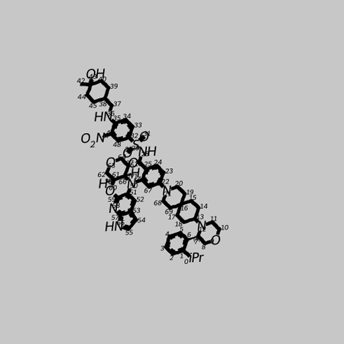 CC(C)c1ccccc1[C@@H]1COCCN1C1CCC2(CC1)CCN(c1ccc(C(=O)NS(=O)(=O)c3ccc(NCC4CCC(C)(O)CC4)c([N+](=O)[O-])c3)c(N3c4cc5cc[nH]c5nc4O[C@H]4COCC[C@@H]43)c1)CC2